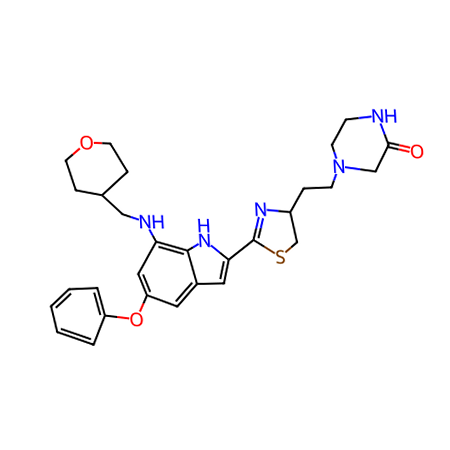 O=C1CN(CCC2CSC(c3cc4cc(Oc5ccccc5)cc(NCC5CCOCC5)c4[nH]3)=N2)CCN1